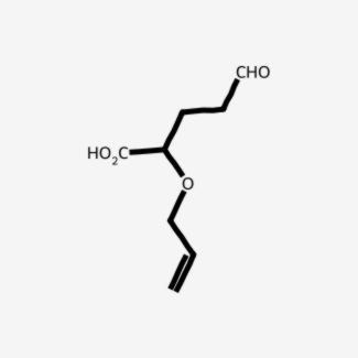 C=CCOC(CCC=O)C(=O)O